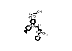 Cn1cc(C(=O)Nc2ccc(NS(=O)(=O)CCO)cc2N2CCC3(CC2)CC3)nc1N1CCCCC1